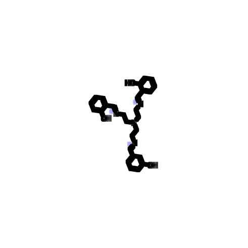 Oc1cccc(/C=N/CCN(CC/N=C/c2ccccc2O)CC/N=C/c2ccccc2O)c1